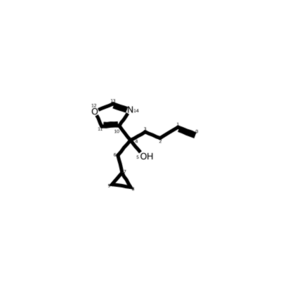 C=CCCC(O)(CC1CC1)c1cocn1